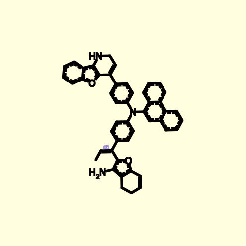 C/C=C(/c1ccc(N(c2ccc(C3=CCNc4c3oc3ccccc43)cc2)c2cc3ccccc3c3ccccc23)cc1)c1oc2c(c1N)CCC=C2